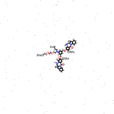 COCCOCCOCCN(CCCC(C)=O)c1cc(COc2cc3c(cc2OC)C(=O)N2c4ccccc4C[C@H]2CN3C)cc(COc2c(OC)cc3c(c2C)N(C)C[C@@H]2Cc4ccccc4N2C3=O)c1